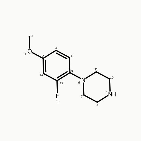 COc1ccc(N2CCNCC2)c(F)c1